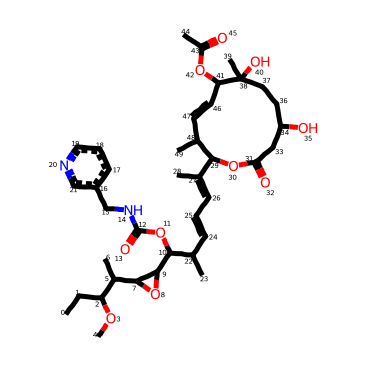 CCC(OC)C(C)C1OC1C(OC(=O)NCc1cccnc1)C(C)/C=C/C=C(\C)C1OC(=O)CC(O)CCC(C)(O)C(OC(C)=O)/C=C/C1C